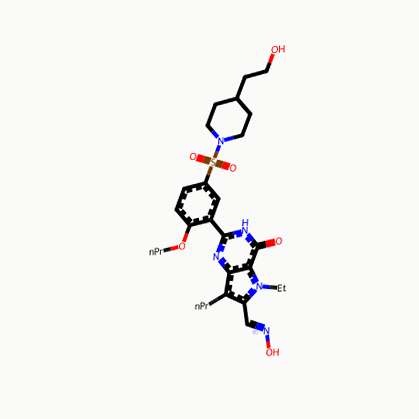 CCCOc1ccc(S(=O)(=O)N2CCC(CCO)CC2)cc1-c1nc2c(CCC)c(/C=N/O)n(CC)c2c(=O)[nH]1